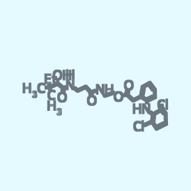 CCC(C)(C)[C@@H](O)C(=O)NCCC(=O)NCCOC(=O)Cc1ccccc1Nc1c(Cl)cccc1Cl